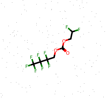 O=C(OCC(F)F)OCC(F)(F)C(F)(F)C(F)(F)F